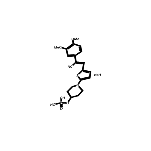 COc1ccc(C(C#N)=Cc2ccc(N3CCC(OP(=O)(O)O)CC3)s2)cc1OC.[NaH]